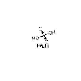 O=S(=O)(O)O.[Fe].[LiH]